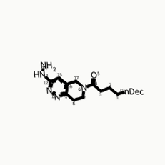 CCCCCCCCCCCCCC(=O)N1CCc2nnc(NN)cc2C1